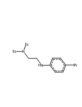 CCN(CC)CCNc1ccc(C(C)C)cc1